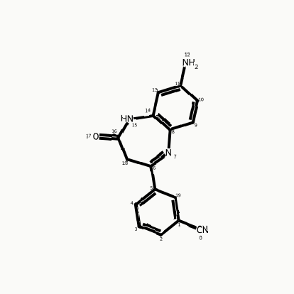 N#Cc1cccc(C2=Nc3ccc(N)cc3NC(=O)C2)c1